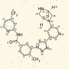 Cc1ccc(C(=O)Nc2cc(C(F)(F)F)ccn2)cc1-n1cc(-c2cncc(N3C[C@H]4C[C@@H]3CN4)c2)nn1